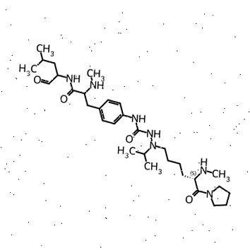 CNC(Cc1ccc(NC(=O)NN(CCCC[C@H](NC)C(=O)N2CCCC2)C(C)C)cc1)C(=O)NC(C=O)CC(C)C